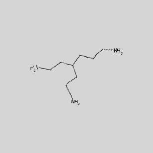 NCCCC(CCN)CCN